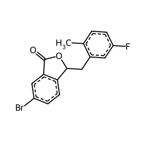 Cc1ccc(F)cc1CC1OC(=O)c2cc(Br)ccc21